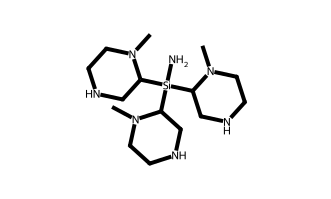 CN1CCNCC1[Si](N)(C1CNCCN1C)C1CNCCN1C